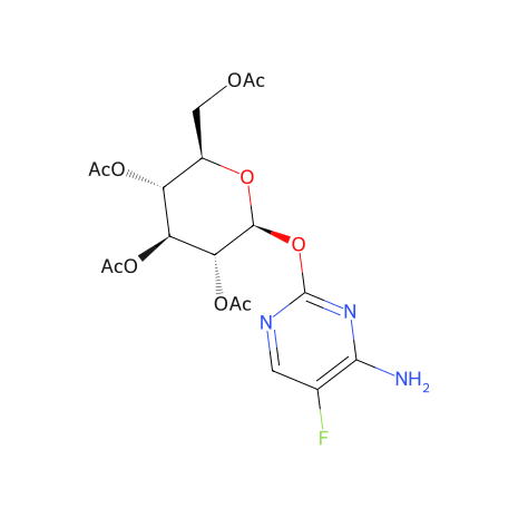 CC(=O)OC[C@H]1O[C@@H](Oc2ncc(F)c(N)n2)[C@H](OC(C)=O)[C@@H](OC(C)=O)[C@@H]1OC(C)=O